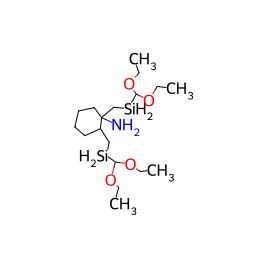 CCOC(OCC)[SiH2]CC1CCCCC1(N)C[SiH2]C(OCC)OCC